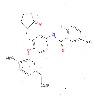 CCOC(=O)Cc1ccc(OC)c(Oc2ccc(NC(=O)c3cc(C(F)(F)F)ccc3F)cc2CN2CCOC2=O)c1